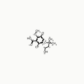 COc1c(Cl)ccc(Cl)c1C(=O)O.C[N+](C)(C)CCO